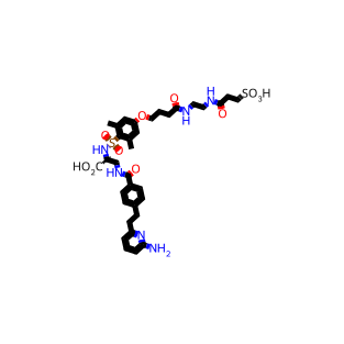 Cc1cc(OCCCC(=O)NCCNC(=O)CCS(=O)(=O)O)cc(C)c1S(=O)(=O)N[C@@H](CNC(=O)c1ccc(CCc2cccc(N)n2)cc1)C(=O)O